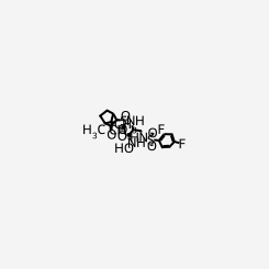 CC12CCC(C(S(=O)(=O)NC(CNS(=O)(=O)c3ccc(F)cc3F)C(=O)NO)C1=O)C2(C)C